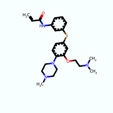 C=CC(=O)Nc1cccc(Sc2ccc(N3CCN(C)CC3)c(OCCN(C)C)c2)c1